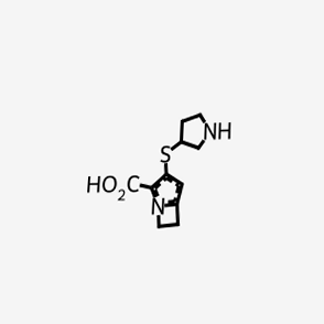 O=C(O)c1c(SC2CCNC2)cc2n1CC2